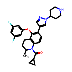 CC1CCc2c(ccc(-c3cnn(C4CCNCC4)c3)c2Oc2cc(F)cc(F)c2)N1C(=O)C1CC1